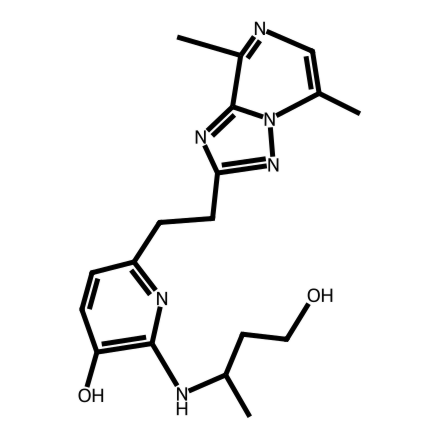 Cc1ncc(C)n2nc(CCc3ccc(O)c(NC(C)CCO)n3)nc12